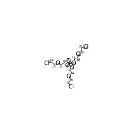 O=P(OCCOCCCl)(OCCOCCCl)OCCOCCCl